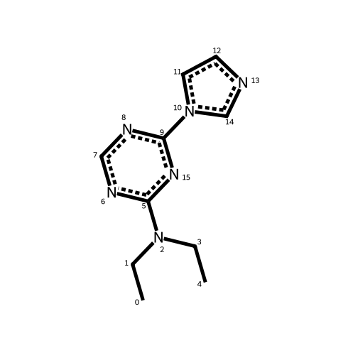 CCN(CC)c1ncnc(-n2ccnc2)n1